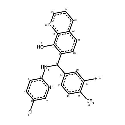 Oc1c(C(Nc2ccc(Cl)cn2)c2ccc(C(F)(F)F)c(F)c2)ccc2cccnc12